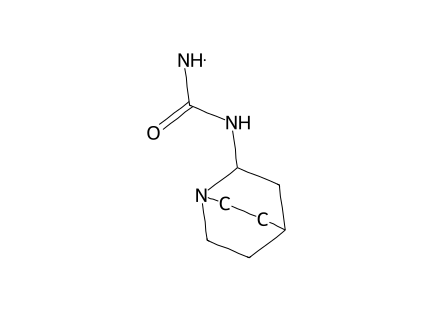 [NH]C(=O)NC1CC2CCN1CC2